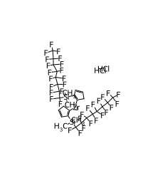 C[Si](C)(C1=[C]([Zr][C]2=C([Si](C)(C)C(F)(F)C(F)(F)C(F)(F)C(F)(F)C(F)(F)C(F)(F)C(F)(F)C(F)(F)F)C=CC2)CC=C1)C(F)(F)C(F)(F)C(F)(F)C(F)(F)C(F)(F)C(F)(F)C(F)(F)C(F)(F)F.Cl.Cl